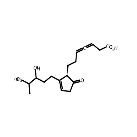 CCCCC(C)C(O)CCC1=CCC(=O)[C@@H]1CCC=C=CCC(=O)O